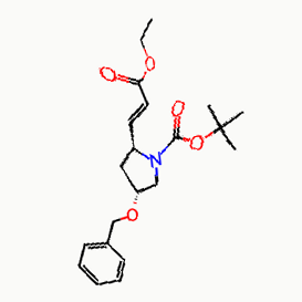 CCOC(=O)/C=C/[C@@H]1C[C@@H](OCc2ccccc2)CN1C(=O)OC(C)(C)C